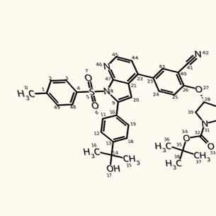 Cc1ccc(S(=O)(=O)n2c(-c3ccc(C(C)(C)O)cc3)cc3c(-c4ccc(O[C@@H]5CCN(C(=O)OC(C)(C)C)C5)c(C#N)c4)ccnc32)cc1